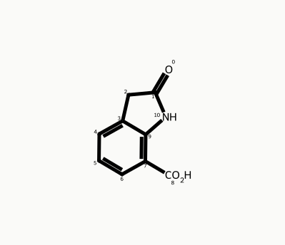 O=C1Cc2cccc(C(=O)O)c2N1